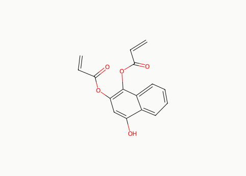 C=CC(=O)Oc1cc(O)c2ccccc2c1OC(=O)C=C